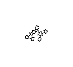 c1ccc(-c2nc(-c3ccccc3)nc(-n3c4ccccc4c4cc5nc6c7ccccc7c7ccccc7n6c5cc43)n2)cc1